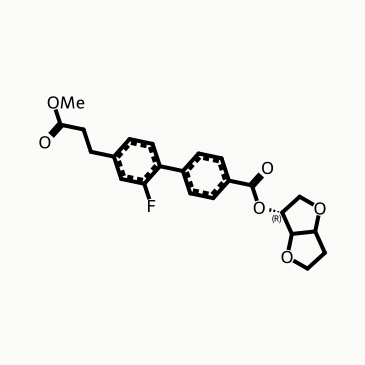 COC(=O)CCc1ccc(-c2ccc(C(=O)O[C@@H]3COC4CCOC43)cc2)c(F)c1